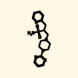 NS(=O)(=O)C(Cc1ccccn1)CN1CCN(c2ncccn2)CC1